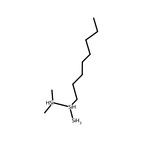 CCCCCCCC[SiH]([SiH3])[SiH](C)C